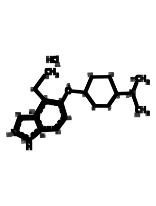 CCc1c(OC2CCC(N(C)C)CC2)ccc2[nH]ncc12.Cl